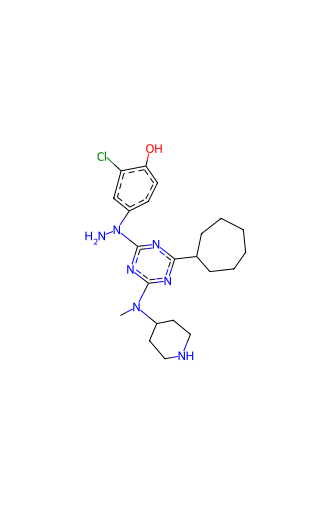 CN(c1nc(C2CCCCCC2)nc(N(N)c2ccc(O)c(Cl)c2)n1)C1CCNCC1